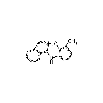 Cc1cccc(Bc2cccc3ccccc23)c1C